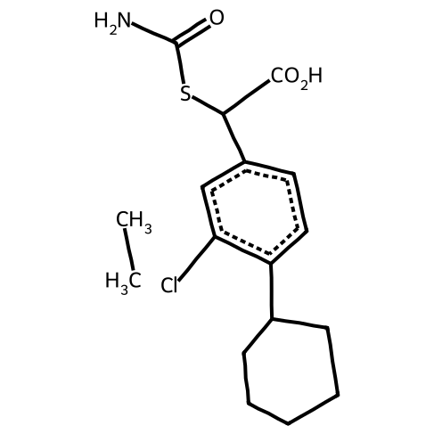 CC.NC(=O)SC(C(=O)O)c1ccc(C2CCCCC2)c(Cl)c1